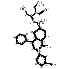 CCN(C=O)/C(CO)=N\N(C)c1ccc2c(=O)n(-c3cccc(F)c3)cc(-c3ccccc3)c2c1